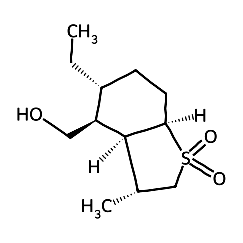 CC[C@@H]1CC[C@@H]2[C@H]([C@H]1CO)[C@@H](C)CS2(=O)=O